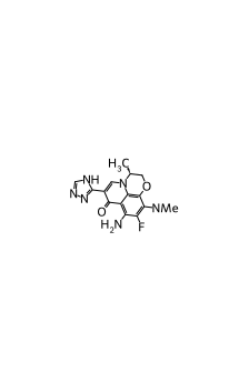 CNc1c(F)c(N)c2c(=O)c(-c3nnc[nH]3)cn3c2c1OC[C@@H]3C